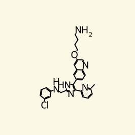 Cc1cccc(-c2nc(CNc3cccc(Cl)c3)[nH]c2-c2ccc3ncc(OCCCCN)cc3c2)n1